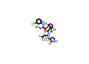 CCOC(=O)/C(F)=C\[C@@H](C[C@H]1CCNC1=O)NC(=O)[C@H]1[C@@H]2CC[C@@H](CC2(F)F)N1C(=O)[C@@H](CC(C)C)Nc1cccc(Cl)c1